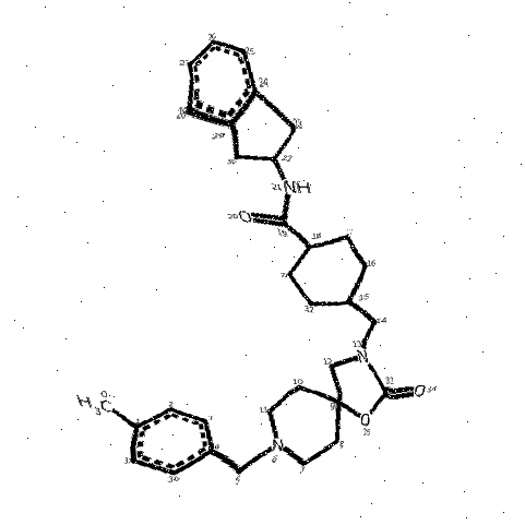 Cc1ccc(CN2CCC3(CC2)CN(CC2CCC(C(=O)NC4Cc5ccccc5C4)CC2)C(=O)O3)cc1